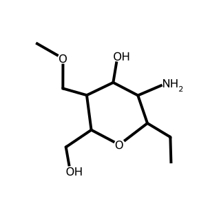 CCC1OC(CO)C(COC)C(O)C1N